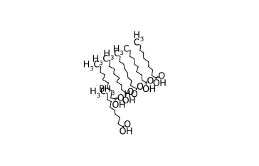 B.CCCCCCCCCC(=O)O.CCCCCCCCCC(=O)O.CCCCCCCCCC(=O)O.CCCCCCCCCC(=O)O.CCCCCCCCCC(=O)O.CCCCCCCCCC(=O)O